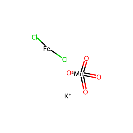 [Cl][Fe][Cl].[K+].[O]=[Mn](=[O])(=[O])[O-]